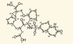 O=C(O)CN(Cc1cccs1)C(=O)[C@H](NS(=O)(=O)c1ccc2[nH]c(=O)ccc2c1)c1ccccc1OCC1(C(=O)O)CC1